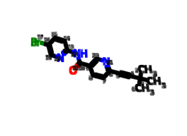 CC(C)(C)C#Cc1ccc(C(=O)Nc2ccc(Br)cn2)cn1